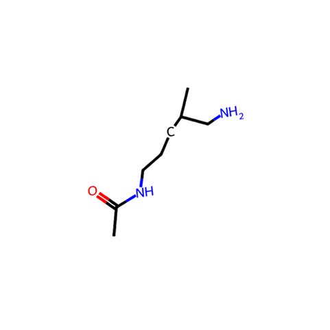 CC(=O)NCCCC(C)CN